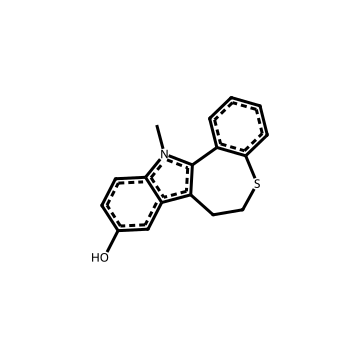 Cn1c2c(c3cc(O)ccc31)CCSc1ccccc1-2